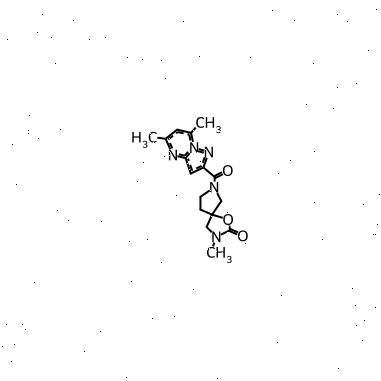 Cc1cc(C)n2nc(C(=O)N3CCC4(CN(C)C(=O)O4)C3)cc2n1